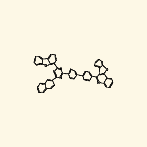 c1ccc2cc(-c3nc(-c4ccc(-c5ccc(-c6nc7ccccc7c7oc8ccccc8c67)cc5)cc4)nc(-c4cccc5c4oc4ccccc45)n3)ccc2c1